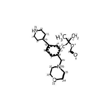 CC(C)(C)OC=O.c1cc(C2CCNCC2)ccc1CN1CCOCC1